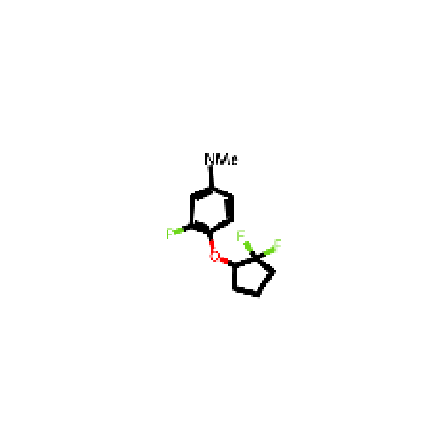 CNc1ccc(OC2CCCC2(F)F)c(F)c1